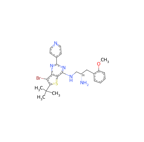 COc1ccccc1C[C@H](N)CNc1nc(-c2ccncc2)nc2c(Br)c(C(C)(C)C)sc12